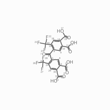 O=C(O)c1cc(C(=O)c2cc(C(=O)O)c(C(=O)O)cc2C(F)(F)F)c(C(F)(F)F)cc1C(=O)O